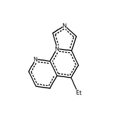 CCc1cc2cncn2c2ncccc12